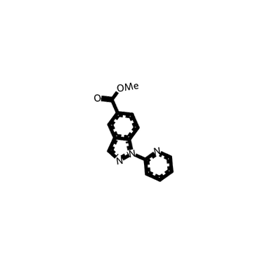 COC(=O)c1ccc2c(cnn2-c2ccccn2)c1